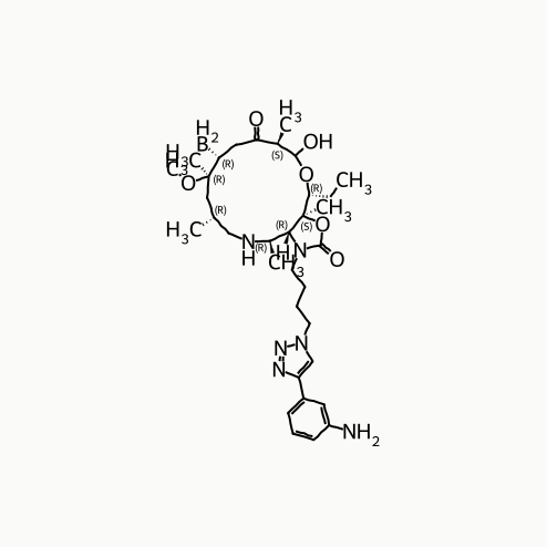 B[C@@H]1CC(=O)[C@@H](C)C(O)O[C@H](CC)[C@@]2(C)OC(=O)N(CCCCn3cc(-c4cccc(N)c4)nn3)[C@@H]2[C@@H](C)NC[C@H](C)C[C@@]1(C)OC